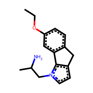 CCOc1ccc2c(c1)-c1c(ccn1CC(C)N)C2